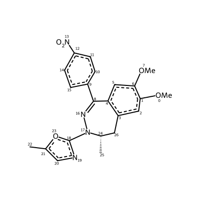 COc1cc2c(cc1OC)C(c1ccc([N+](=O)[O-])cc1)=NN(c1ncc(C)o1)[C@@H](C)C2